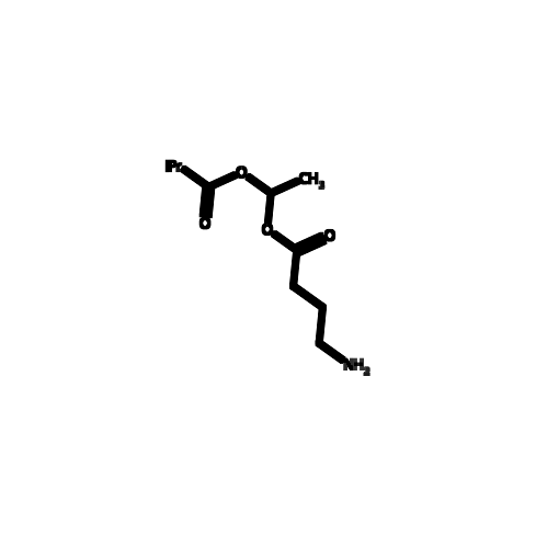 C[C](OC(=O)CCCN)OC(=O)C(C)C